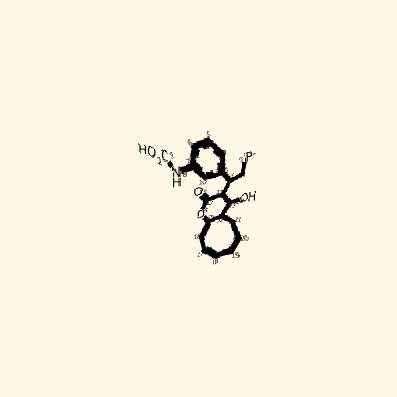 CC(C)CC(c1cccc(NC(=O)O)c1)C1C(=O)OC2=CC=CCCCC2C1O